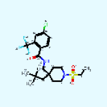 CCS(=O)(=O)N1CCC(CNC(=O)c2ccc(Cl)cc2C(F)(F)F)(CC(C)(C)C)CC1